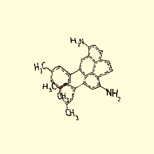 Cc1cc(C)cc(-c2cc(N)c3ccc4ccc(N)c5cc(-c6cc(C)cc(C)c6)c2c3c45)c1